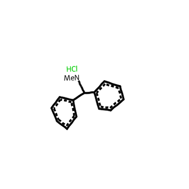 CNC(c1ccccc1)c1ccccc1.Cl